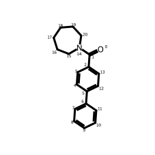 O=C(c1ccc(-c2ccccc2)cc1)N1CCCCCC1